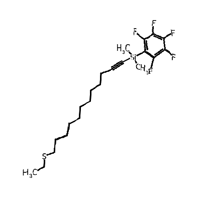 CCSCCCCCCCCCCC#C[Si](C)(C)c1c(F)c(F)c(F)c(F)c1F